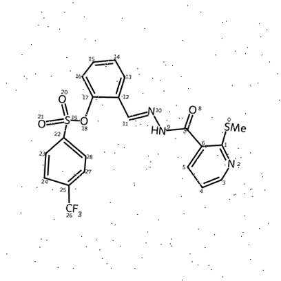 CSc1ncccc1C(=O)NN=Cc1ccccc1OS(=O)(=O)c1ccc(C(F)(F)F)cc1